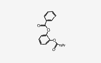 CCCC(=O)Oc1ccccc1OC(=O)c1ccccc1